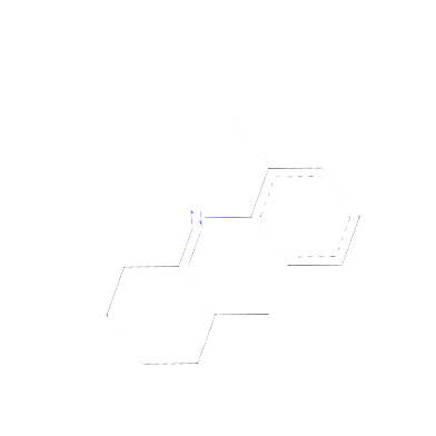 Cc1ccccc1N=C1CCCCC1C